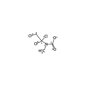 CN(C([O])=O)C(Cl)(Cl)CCl